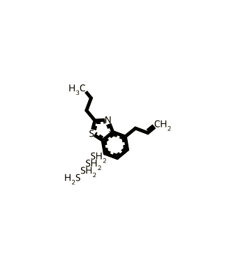 C=CCc1cccc2sc(CCC)nc12.S.S.S.S